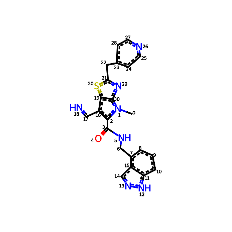 Cn1c(C(=O)NCc2cccc3[nH]ncc23)c(C=N)c2sc(Cc3ccncc3)nc21